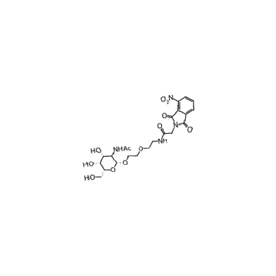 CC(=O)N[C@H]1[C@H](OCCOCCNC(=O)CN2C(=O)c3cccc([N+](=O)[O-])c3C2=O)O[C@H](CO)[C@H](O)[C@@H]1O